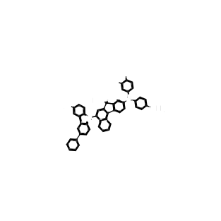 Cc1ccc(N(c2ccc(C)c(C)c2)c2ccc3c(c2)C(C)(C)c2cc(-n4c5ccc(C)cc5c5cc(-c6ccccc6)ccc54)c4ccccc4c2-3)cc1